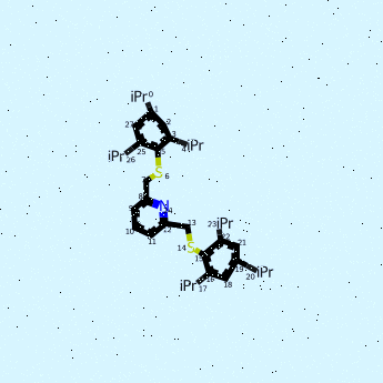 CC(C)c1cc(C(C)C)c(SCc2cccc(CSc3c(C(C)C)cc(C(C)C)cc3C(C)C)n2)c(C(C)C)c1